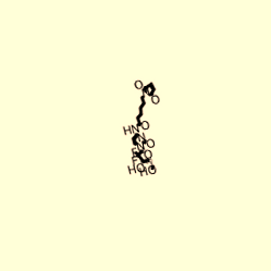 O=C(CCCCCN1C(=O)C=CC1=O)Nc1ccn([C@@H]2O[C@H](CO)[C@@H](O)C2(F)F)c(=O)n1